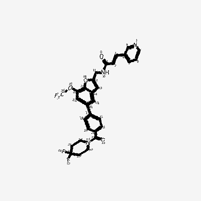 O=C(/C=C/c1cccnc1)NCc1cc2cc(-c3ccc(C(=O)N4CCC(F)(F)CC4)cc3)cc(OC(F)(F)F)c2o1